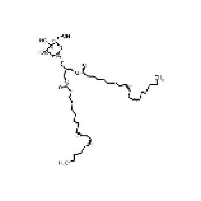 CCCCC/C=C\C/C=C\CCCCCCCC(=O)OCC(COC(=O)CCCCCCC/C=C\C/C=C\CCCCC)CO[C@H]1C[C@@H](O)[C@@H](O)[C@@H](CO)O1